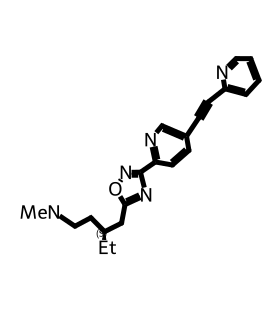 CC[C@@H](CCNC)Cc1nc(-c2ccc(C#Cc3ccccn3)cn2)no1